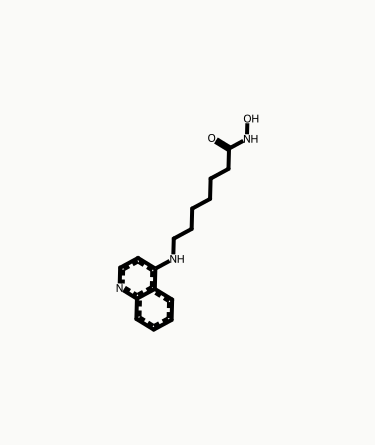 O=C(CCCCCCNc1ccnc2ccccc12)NO